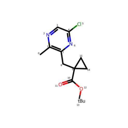 Cc1ncc(Cl)nc1CC1(C(=O)OC(C)(C)C)CC1